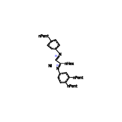 CCCCCCC(/C=N/c1ccc(CCCCC)cc1)=N\c1ccc(CCCCC)c(CCCCC)c1.[Ni]